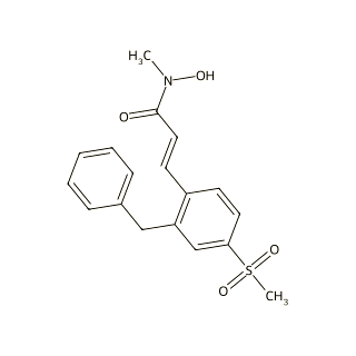 CN(O)C(=O)C=Cc1ccc(S(C)(=O)=O)cc1Cc1ccccc1